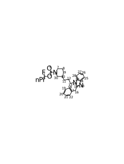 CCCC(F)OC(=O)N1CCCC(CCCn2c(Cc3ccccc3)nc3ccccc32)C1